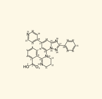 O=C(O)c1ccccc1C1=NCCCN1c1cc(-c2ccncc2)cc2nc(-c3ccccc3)nn12